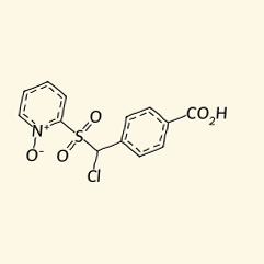 O=C(O)c1ccc(C(Cl)S(=O)(=O)c2cccc[n+]2[O-])cc1